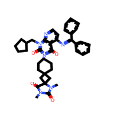 CN1C(=O)N(C)C2(CC3(CCC(n4c(=O)c5c(N=C(c6ccccc6)c6ccccc6)ccnc5n(CC5CCCC5)c4=O)CC3)C2)C1=O